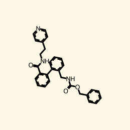 O=C(NCc1ccccc1-c1ccccc1C(=O)NCCc1ccncc1)OCc1ccccc1